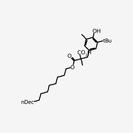 CCCCCCCCCCCCCCCCCCOC(=O)C(C)(Cc1cc(C)c(O)c(C(C)(C)C)c1)C(=O)O